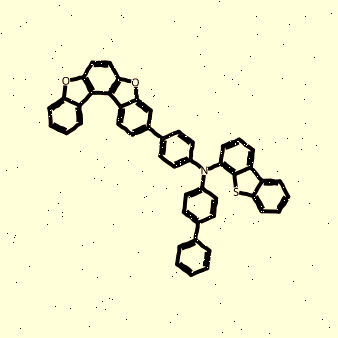 c1ccc(-c2ccc(N(c3ccc(-c4ccc5c(c4)oc4ccc6oc7ccccc7c6c45)cc3)c3cccc4c3sc3ccccc34)cc2)cc1